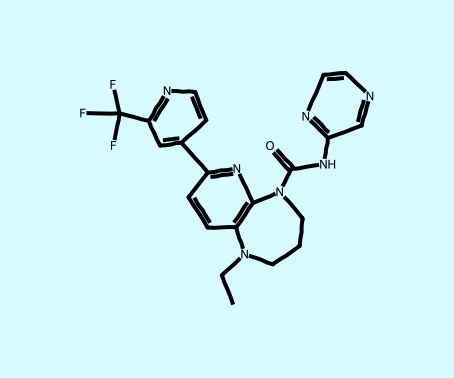 CCN1CCCN(C(=O)Nc2cnccn2)c2nc(-c3ccnc(C(F)(F)F)c3)ccc21